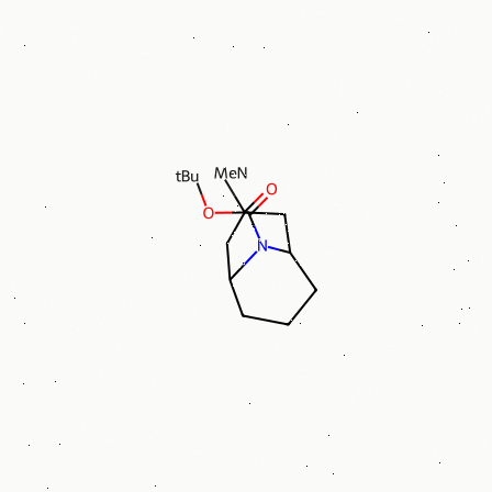 CNC1CC2CCCC(C1)N2C(=O)OC(C)(C)C